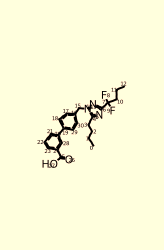 CCCCc1nc(C(F)(F)CCC)nn1Cc1ccc(-c2cccc(C(=O)O)c2)cc1